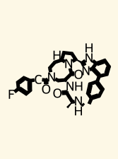 CN[C@@H](C)C(=O)N[C@H]1CN(C(=O)Cc2ccc(F)cc2)CC[C@H]2CC[C@@H](c3nc4c(-c5ccc(C)cc5)cccc4[nH]3)N2C1=O